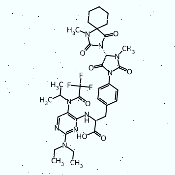 CCN(CC)c1ncc(N(C(=O)C(F)(F)F)C(C)C)c(NC(Cc2ccc(N3C(=O)[C@H](N4C(=O)N(C)C5(CCCCC5)C4=O)N(C)C3=O)cc2)C(=O)O)n1